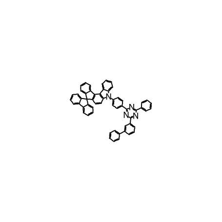 c1ccc(-c2cccc(-c3nc(-c4ccccc4)nc(-c4ccc(-n5c6ccccc6c6c7c(ccc65)C5(c6ccccc6-c6ccccc65)c5ccccc5-7)cc4)n3)c2)cc1